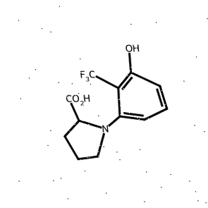 O=C(O)C1CCCN1c1cccc(O)c1C(F)(F)F